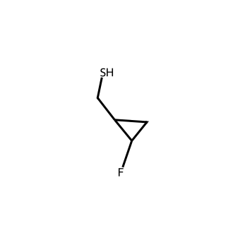 FC1CC1CS